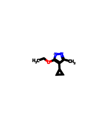 CCOC1=C(C2CC2)C(C)=N[N]1